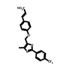 Cc1nc(-c2ccc(C(F)(F)F)cc2)oc1COc1ccc(C=CC(=O)O)cc1